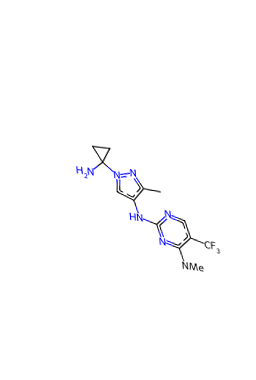 CNc1nc(Nc2cn(C3(N)CC3)nc2C)ncc1C(F)(F)F